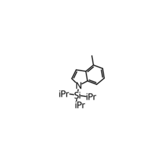 Cc1cccc2c1ccn2[Si](C(C)C)(C(C)C)C(C)C